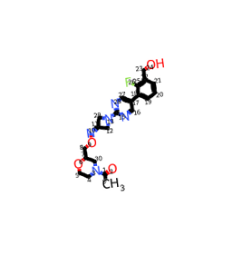 CC(=O)N1CCOC(CON=C2CN(c3ncc(-c4cccc(CO)c4F)cn3)C2)C1